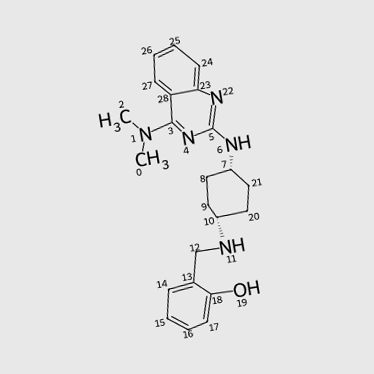 CN(C)c1nc(N[C@H]2CC[C@@H](NCc3ccccc3O)CC2)nc2ccccc12